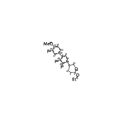 CCOC1CCC(c2ccc(-c3ccc(OC)c(F)c3)c(F)c2F)CO1